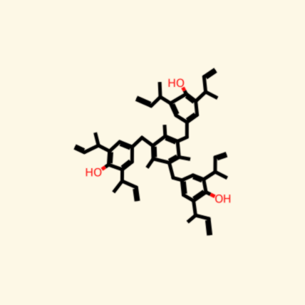 C=CC(C)c1cc(Cc2c(C)c(Cc3cc(C(C)C=C)c(O)c(C(C)C=C)c3)c(C)c(Cc3cc(C(C)C=C)c(O)c(C(C)C=C)c3)c2C)cc(C(C)C=C)c1O